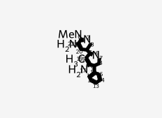 CNC1=NCC(C2=NCCC(c3ccccc3)C(N)=C2C)C=C1N